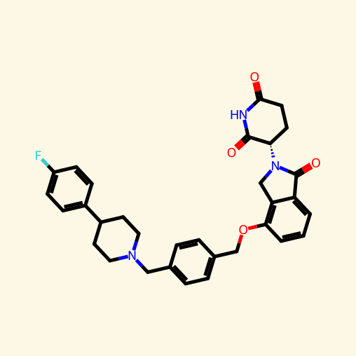 O=C1CC[C@H](N2Cc3c(OCc4ccc(CN5CCC(c6ccc(F)cc6)CC5)cc4)cccc3C2=O)C(=O)N1